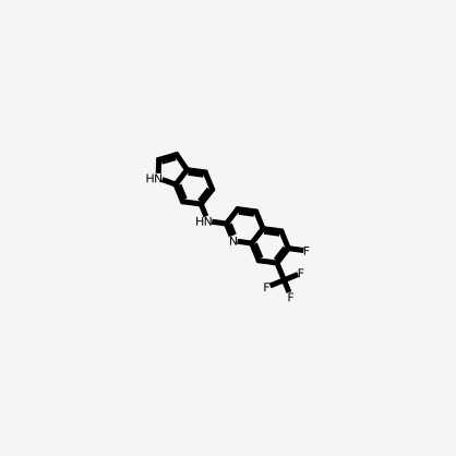 Fc1cc2ccc(Nc3ccc4cc[nH]c4c3)nc2cc1C(F)(F)F